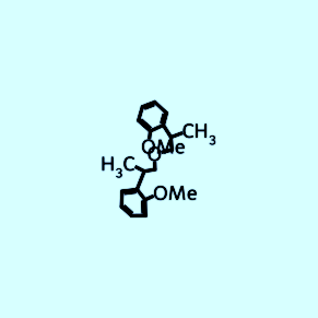 COc1ccccc1C(C)COCC(C)c1ccccc1OC